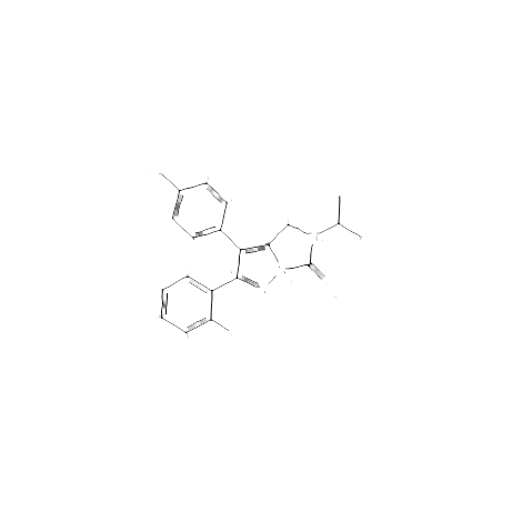 CC(C)N1Cc2c(-c3ccc(Cl)cc3)c(-c3ccccc3Cl)nn2C1=O